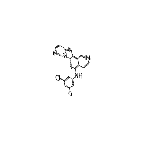 Clc1cc(Cl)cc(Nc2nc3c(nc4ccncn43)c3cnccc23)c1